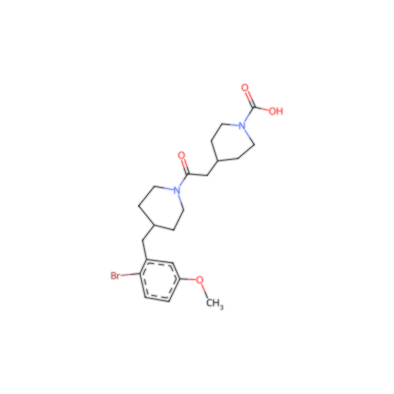 COc1ccc(Br)c(CC2CCN(C(=O)CC3CCN(C(=O)O)CC3)CC2)c1